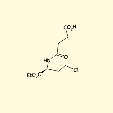 CCOC(=O)[C@H](CCCl)NC(=O)CCC(=O)O